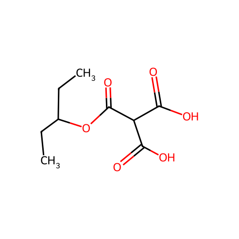 CCC(CC)OC(=O)C(C(=O)O)C(=O)O